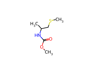 COC(=O)NC(C)CSC